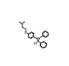 CCC1(c2ccccc2)C(c2ccccc2)C1c1ccc(OCCN(C)C)cc1